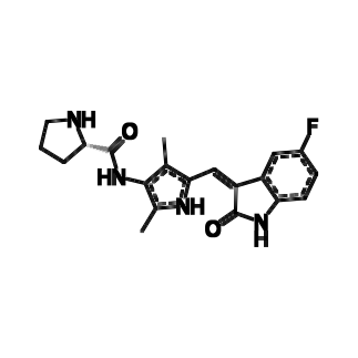 Cc1[nH]c(/C=C2\C(=O)Nc3ccc(F)cc32)c(C)c1NC(=O)[C@@H]1CCCN1